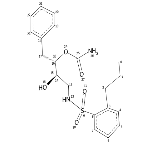 CCCc1ccccc1S(=O)(=O)NC[C@@H](O)[C@H](Cc1ccccc1)OC(N)=O